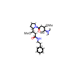 CCC(C)C(C(CC(=O)N1CCCC1C(CC(=O)NCCc1ccccc1)OC)OC)N(C)C